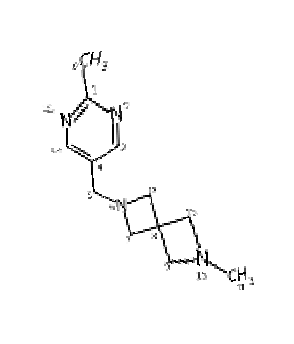 Cc1ncc(CN2CC3(CN(C)C3)C2)cn1